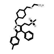 Cc1ccc(-c2nn(CC3CCC(COCC(=O)O)CC3)c(CCS(C)(=O)=O)c2-c2ccccc2)cc1